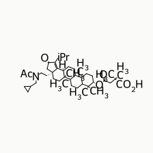 CC(=O)N(CC[C@@]12CC[C@]3(C)[C@H](CCC4[C@@]5(C)CC[C@H](OC(=O)CC(C)(C)C(=O)O)C(C)(C)C5CC[C@]43C)C1=C(C(C)C)C(=O)C2)CC1CC1